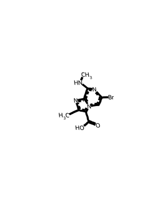 CNc1nc(Br)cn2c(C(=O)O)c(C)nc12